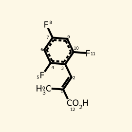 CC(=Cc1c(F)cc(F)cc1F)C(=O)O